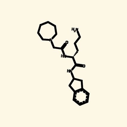 NCCC[C@@H](NC(=O)CN1CCCCCC1)C(=O)NC1Cc2ccccc2C1